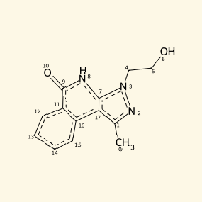 Cc1nn(CCO)c2[nH]c(=O)c3ccccc3c12